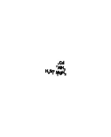 [AlH3].[Gd].[MgH2].[SnH2]